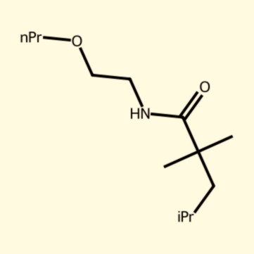 CCCOCCNC(=O)C(C)(C)CC(C)C